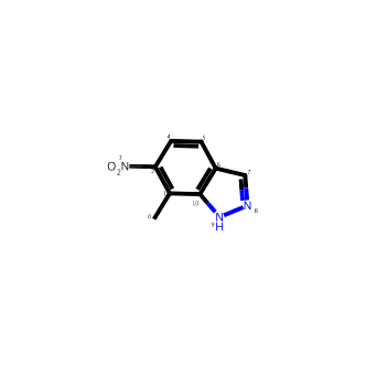 Cc1c([N+](=O)[O-])ccc2cn[nH]c12